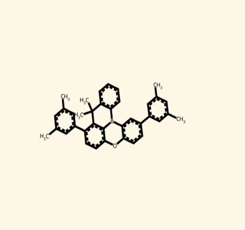 Cc1cc(C)cc(-c2ccc3c(c2)B2c4ccccc4C(C)(C)c4c(-c5cc(C)cc(C)c5)ccc(c42)O3)c1